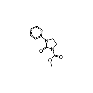 COC(=O)N1CCN(c2ccccc2)C1=O